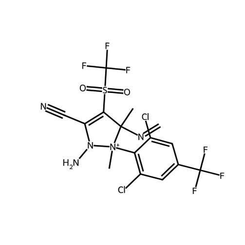 C=NC1(C)C(S(=O)(=O)C(F)(F)F)=C(C#N)N(N)[N+]1(C)c1c(Cl)cc(C(F)(F)F)cc1Cl